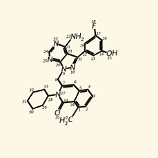 Cc1cccc2cc(Cn3nc(-c4cc(O)cc(F)c4)c4c(N)ncnc43)n(C3CCCCC3)c(=O)c12